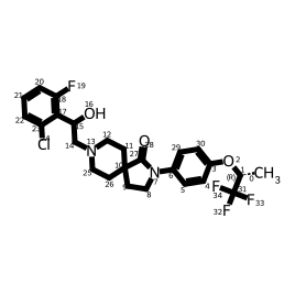 C[C@@H](Oc1ccc(N2CCC3(CCN(CC(O)c4c(F)cccc4Cl)CC3)C2=O)cc1)C(F)(F)F